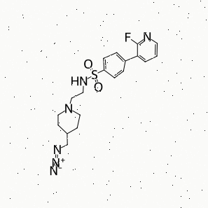 [N-]=[N+]=NCC1CCN(CCNS(=O)(=O)c2ccc(-c3cccnc3F)cc2)CC1